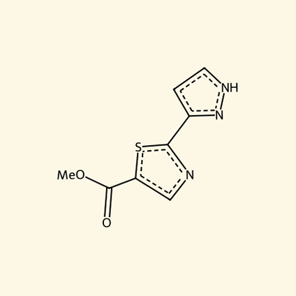 COC(=O)c1cnc(-c2cc[nH]n2)s1